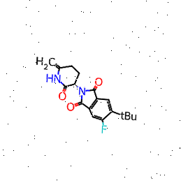 C=C1CC[C@H](N2C(=O)c3cc(F)c(C(C)(C)C)cc3C2=O)C(=O)N1